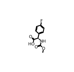 COC(=O)N[C@@H](C(=O)O)c1ccc(F)cc1